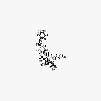 COCCOCC(CC1(C(=O)NC2CCC(C(=O)OCc3ccccc3)CC2)CCCC1)C(=O)OC(C)(C)C